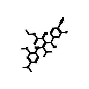 CCOC(=O)C(=N)/C(=C(\Nc1cnc(N(C)C)nc1OC)C(C)C)C(O)c1ccc(C#N)c(F)c1